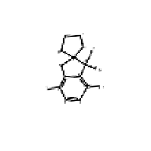 Cc1ccc(I)c2c1CC1(CCCC1)C2(F)F